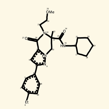 CCc1ccc(-c2cc3n(n2)CC(C)(C(=O)NC2CCCCC2)N(CCOC)C3=O)cc1